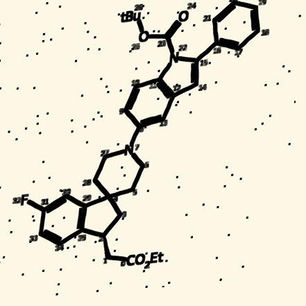 CCOC(=O)C[C@@H]1CC2(CCN(c3ccc4c(c3)cc(-c3ccccc3)n4C(=O)OC(C)(C)C)CC2)c2cc(F)ccc21